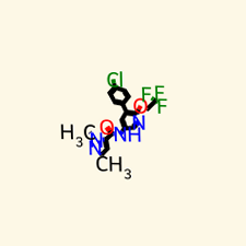 Cc1cc(C(=O)Nc2cnc(OCC(F)(F)F)c(-c3ccc(Cl)cc3)c2)n(C)n1